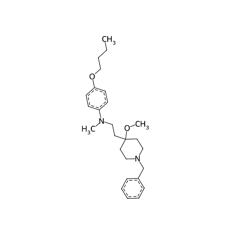 CCCCOc1ccc(N(C)CCC2(OC)CCN(Cc3ccccc3)CC2)cc1